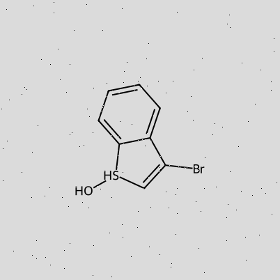 O[SH]1C=C(Br)c2ccccc21